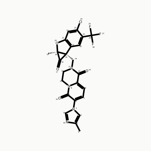 Cc1cn(-c2ccc3n(c2=O)CCN(C[C@]24C(=O)[C@@]2(C)Oc2cc(Cl)c(C(F)(F)F)cc24)C3=O)cn1